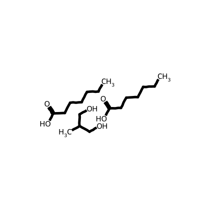 CC(CO)CO.CCCCCCC(=O)O.CCCCCCC(=O)O